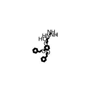 N=C(N)NCC(O)COc1ccc(OCCc2ccccc2)c(OCCc2ccccc2)c1